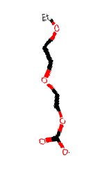 CCOCCOCCOC([O])=O